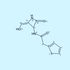 O=C(Cc1cccs1)NC1C(=O)N/C1=C/O